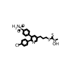 CN(O)C(=S)SCCCc1cnc(-c2ccc(Cl)cc2)c(-c2ccc(S(N)(=O)=O)cc2)c1